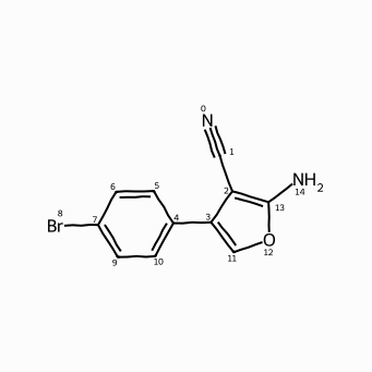 N#Cc1c(-c2ccc(Br)cc2)coc1N